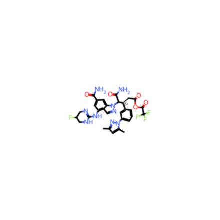 Cc1cc(C)n(-c2cccc([C@H](CC(=O)OC(=O)C(F)(F)F)C(C(N)=O)n3ncc4c(NC5=NCC(F)CN5)cc(C(N)=O)cc43)c2)n1